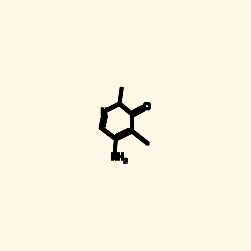 CC1=C(N)C=NC(C)C1=O